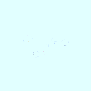 Cc1ccc(-c2nc(C(CCCCNS(N)(=O)=O)NCC(=O)c3ccccc3)cs2)cc1